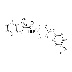 COc1ccc(CN2CCC(NC(=O)C3=C(C)c4ccccc4C3)CC2)cc1